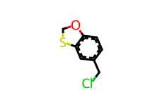 ClCc1ccc2c(c1)SCO2